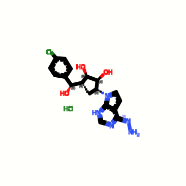 Cl.N/N=c1\nc[nH]c2c1ccn2[C@@H]1C[C@H]([C@H](O)c2ccc(Cl)cc2)[C@@H](O)[C@H]1O